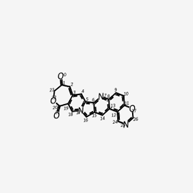 O=C1C=c2cc3c4nc5ccc6c(c5cc4cn3cc2C(=O)OC1)=CN=CO6